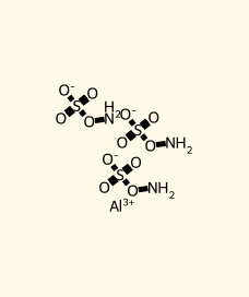 NOS(=O)(=O)[O-].NOS(=O)(=O)[O-].NOS(=O)(=O)[O-].[Al+3]